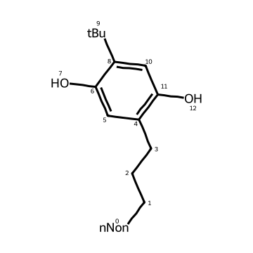 CCCCCCCCCCCCc1cc(O)c(C(C)(C)C)cc1O